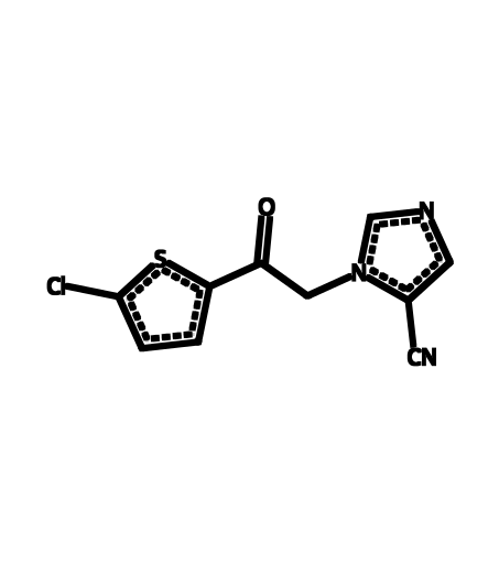 N#Cc1cncn1CC(=O)c1ccc(Cl)s1